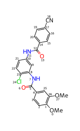 COc1ccc(C(=O)Nc2cc(NC(=O)c3ccc(C#N)cc3)ccc2Cl)cc1OC